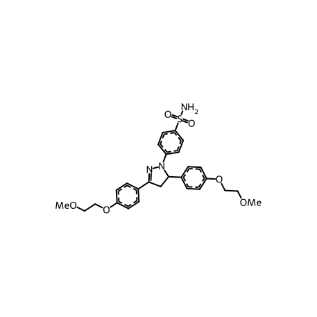 COCCOc1ccc(C2=NN(c3ccc(S(N)(=O)=O)cc3)C(c3ccc(OCCOC)cc3)C2)cc1